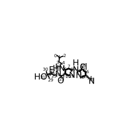 CC(C)CCNc1cc(Nc2ncc(C#N)cc2Cl)ncc1C(=O)NC[C@@H](F)C(C)(C)O